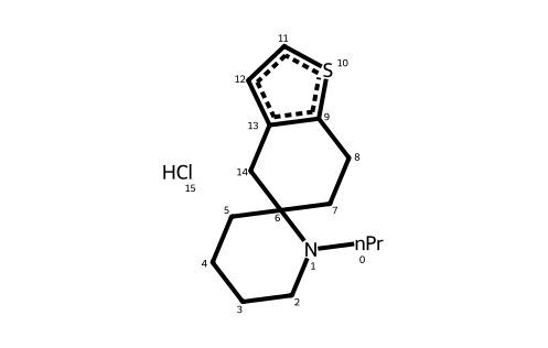 CCCN1CCCCC12CCc1sccc1C2.Cl